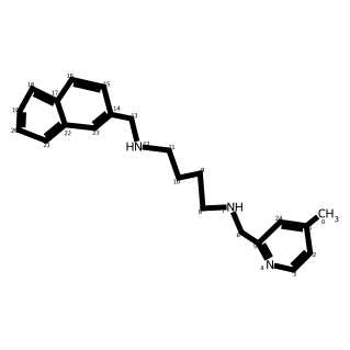 Cc1ccnc(CNCCCCNCc2ccc3ccccc3c2)c1